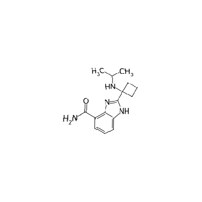 CC(C)NC1(c2nc3c(C(N)=O)cccc3[nH]2)CCC1